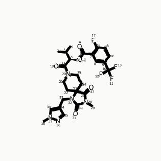 CC(C)[C@@H](NC(=O)c1cc(C(F)(F)F)ccc1F)C(=O)N1CCC2(CC1)C(=O)N(C)C(=O)N2Cc1cnn(C)c1